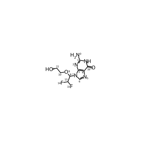 Nc1nc2c(ncn2C(OCCO)C(F)F)c(=O)[nH]1